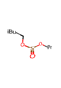 CCC(C)COS(=O)OC(C)C